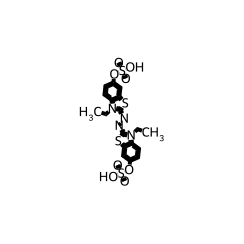 CCn1c(=NN=c2sc3cc(OS(=O)(=O)O)ccc3n2CC)sc2cc(OS(=O)(=O)O)ccc21